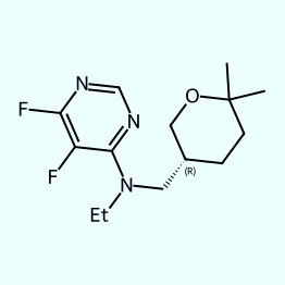 CCN(C[C@H]1CCC(C)(C)OC1)c1ncnc(F)c1F